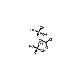 ClC(Cl)Cl.OP(O)(O)=S.OP(O)(O)=S